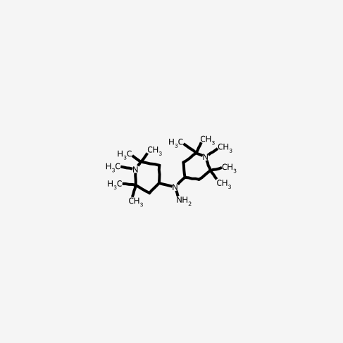 CN1C(C)(C)CC(N(N)C2CC(C)(C)N(C)C(C)(C)C2)CC1(C)C